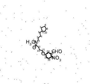 CN(CCCCC1CCCC1)C(=O)CCCOc1ccc([N+](=O)[O-])c(C=O)c1